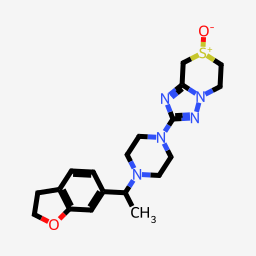 CC(c1ccc2c(c1)OCC2)N1CCN(c2nc3n(n2)CC[S+]([O-])C3)CC1